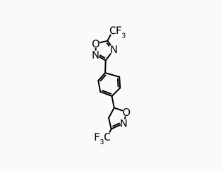 FC(F)(F)C1=NOC(c2ccc(-c3noc(C(F)(F)F)n3)cc2)C1